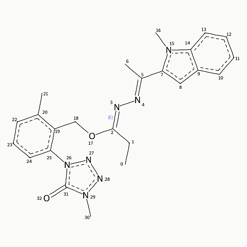 CC/C(=N\N=C(C)c1cc2ccccc2n1C)OCc1c(C)cccc1-n1nnn(C)c1=O